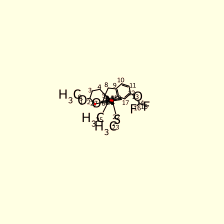 COC1CCC2(CC1)Cc1ccc(OC(F)F)cc1C21N=C(SC)N(C)C1=O